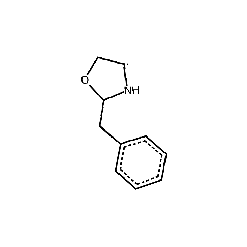 [CH]1COC(Cc2ccccc2)N1